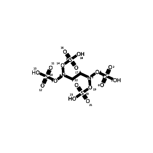 O=S(=O)(O)ON(CCN(OS(=O)(=O)O)OS(=O)(=O)O)OS(=O)(=O)O